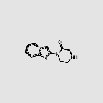 O=C1CNCCN1c1cn2ccccc2n1